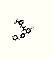 C[C@@H]1CC[C@@H](c2ccc(OC3CCOCC3)cc2)N(C(=O)C(=O)Nc2cncc(C(N)=O)c2)C1